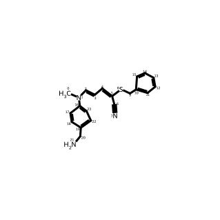 CN(C=CC=C(C#N)SCc1ccccc1)c1ccc(CN)cc1